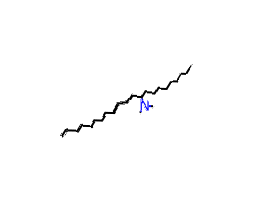 CCCCCCCCCCCCC(CCCCCCCCC)N(C)C